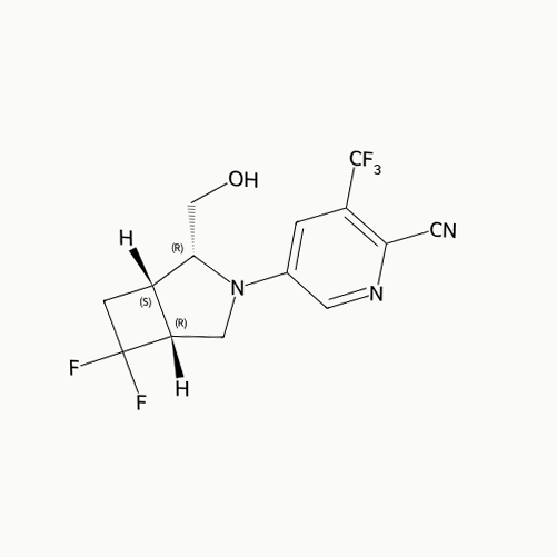 N#Cc1ncc(N2C[C@H]3[C@H](CC3(F)F)[C@@H]2CO)cc1C(F)(F)F